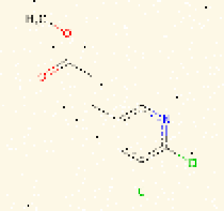 COC(=O)C=Cc1cnc(Cl)c(Cl)c1